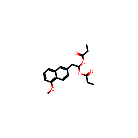 CCC(=O)OC(Cc1ccc2c(OC)cccc2c1)OC(=O)CC